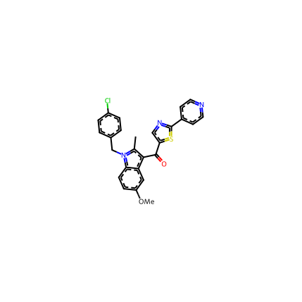 COc1ccc2c(c1)c(C(=O)c1cnc(-c3ccncc3)s1)c(C)n2Cc1ccc(Cl)cc1